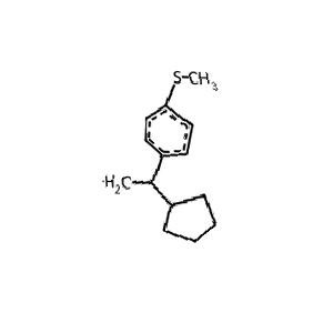 [CH2]C(c1ccc(SC)cc1)C1CCCC1